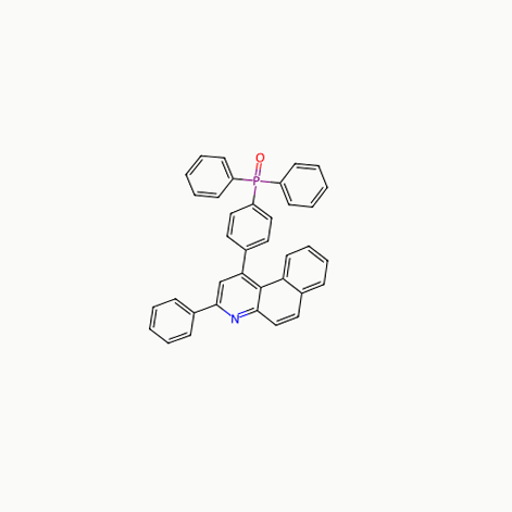 O=P(c1ccccc1)(c1ccccc1)c1ccc(-c2cc(-c3ccccc3)nc3ccc4ccccc4c23)cc1